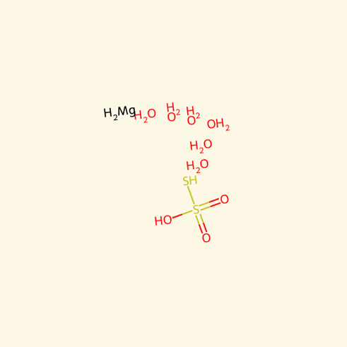 O.O.O.O.O.O.O=S(=O)(O)S.[MgH2]